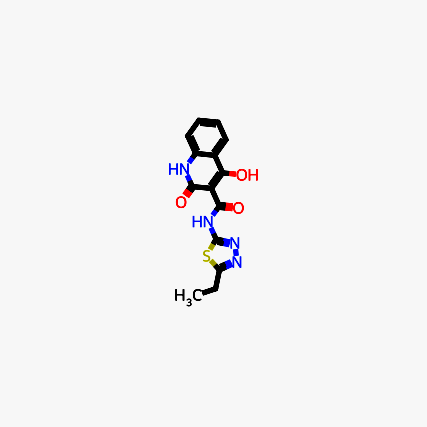 CCc1nnc(NC(=O)c2c(O)c3ccccc3[nH]c2=O)s1